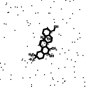 C[C@@H]1C2C(=C3CC(C)(C)CCC3[C@@H]1O)C=C[C@H]1C2CCC2[C@H](CO)CCC[C@@]21C